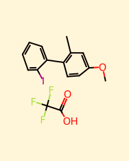 COc1ccc(-c2ccccc2I)c(C)c1.O=C(O)C(F)(F)F